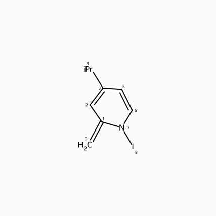 C=C1C=C(C(C)C)C=CN1I